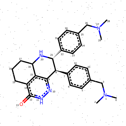 CN(C)Cc1ccc([C@H]2c3n[nH]c(=O)c4c3C(CCC4)N[C@@H]2c2ccc(CN(C)C)cc2)cc1